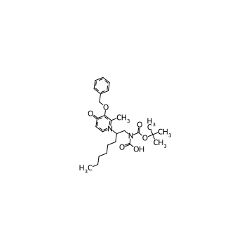 CCCCCCC(CN(C(=O)O)C(=O)OC(C)(C)C)n1ccc(=O)c(OCc2ccccc2)c1C